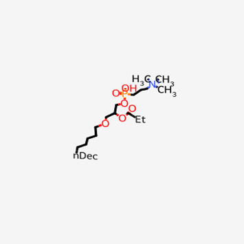 CCCCCCCCCCCCCCCOCC(COP(=O)(O)CCC[N+](C)(C)C)OC(=O)CC